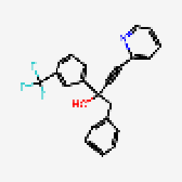 OC(C#Cc1ccccn1)(Cc1ccccc1)c1cccc(C(F)(F)F)c1